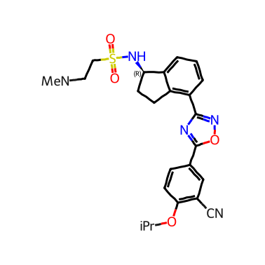 CNCCS(=O)(=O)N[C@@H]1CCc2c(-c3noc(-c4ccc(OC(C)C)c(C#N)c4)n3)cccc21